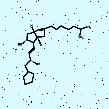 CN(C)CCCCCC1=C[C@H]2C[C@@H](O)[C@H](/C=C/[C@H](O)CC3CCCC3)[C@H]2C1